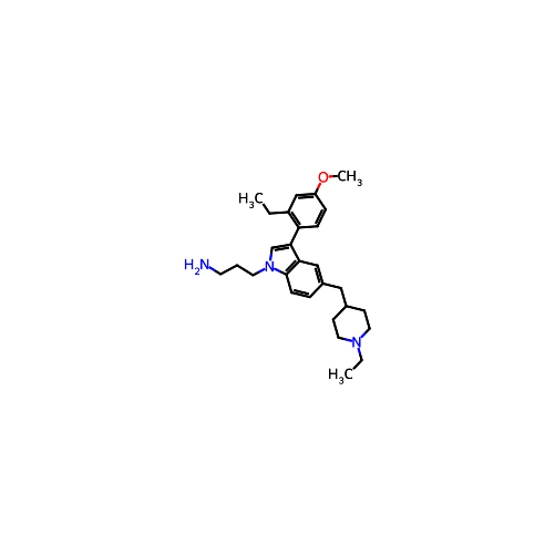 CCc1cc(OC)ccc1-c1cn(CCCN)c2ccc(CC3CCN(CC)CC3)cc12